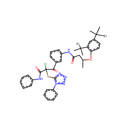 CCC(C)(C)c1ccc(OC(C)CC(=O)Nc2cccc(C(=O)C(Cl)(Sc3nnnn3-c3ccccc3)C(=O)Nc3ccccc3)c2)c(C(C)(C)CC)c1